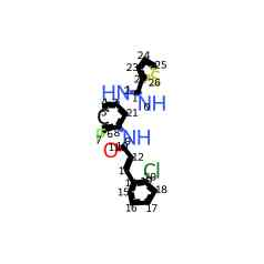 N=C(Nc1ccc(F)c(NC(=O)/C=C/c2ccccc2Cl)c1)c1cccs1